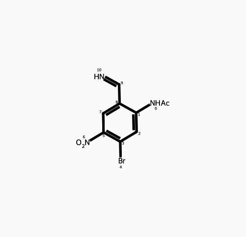 CC(=O)Nc1cc(Br)c([N+](=O)[O-])cc1C=N